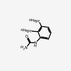 CCCCCCCc1cccc(NC(N)=O)c1CCCCCCC